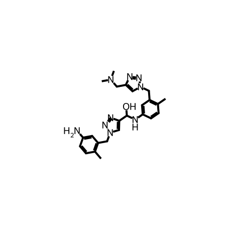 Cc1ccc(NC(O)c2cn(Cc3cc(N)ccc3C)nn2)cc1Cn1cc(CN(C)C)nn1